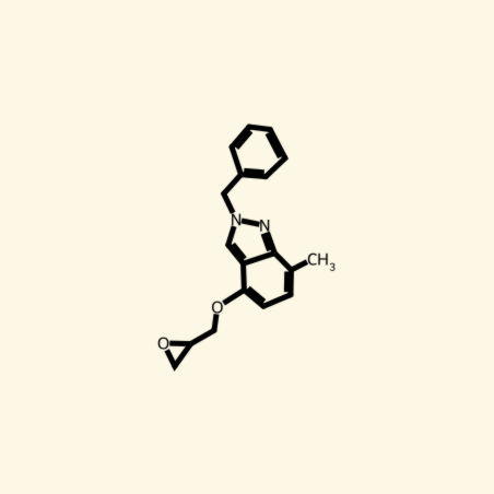 Cc1ccc(OCC2CO2)c2cn(Cc3ccccc3)nc12